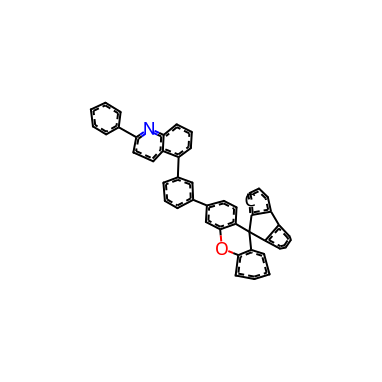 c1ccc(-c2ccc3c(-c4cccc(-c5ccc6c(c5)Oc5ccccc5C65c6ccccc6-c6ccccc65)c4)cccc3n2)cc1